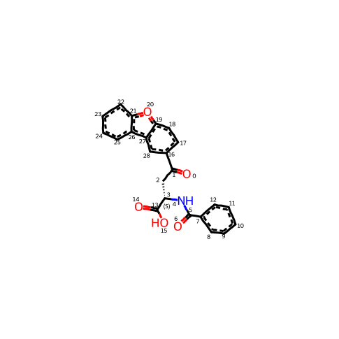 O=C(C[C@H](NC(=O)c1ccccc1)C(=O)O)c1ccc2oc3ccccc3c2c1